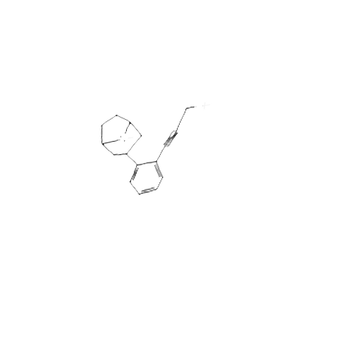 OCC#Cc1ccccc1C1CC2CCC(C1)N2